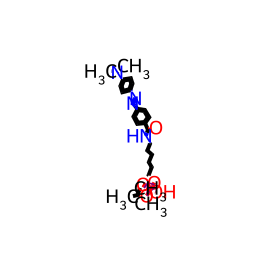 CN(C)c1ccc(/N=N/c2ccc(C(=O)NCCCCCCOP(=O)(O)OC(C)(C)C)cc2)cc1